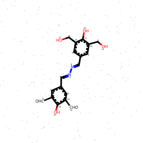 O=Cc1cc(C=NN=Cc2cc(CO)c(O)c(CO)c2)cc(C=O)c1O